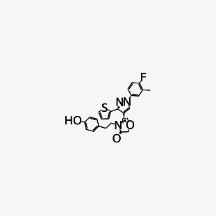 Cc1cc(-n2cc([C@H]3OCC(=O)N3CCc3ccc(O)cc3)c(-c3cccs3)n2)ccc1F